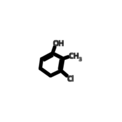 CC1=C(Cl)CCC=C1O